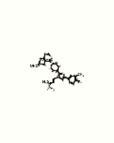 CN(C)CCn1cc(-c2ccc(F)c(C(F)(F)F)c2)nc1C1CCN(c2ncnc3c2CC(C=O)N3)CC1